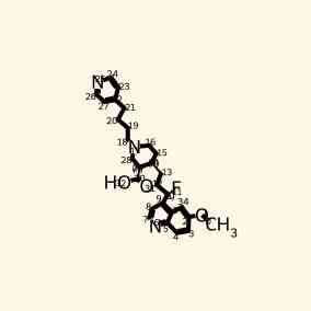 COc1ccc2nccc([C@@H](F)CC[C@@H]3CCN(CCCCc4ccncc4)C[C@@H]3C(=O)O)c2c1